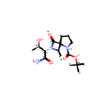 CC1N([C@H](C(N)=O)[C@@H](C)O)C(=O)C12CCCN2C(=O)OC(C)(C)C